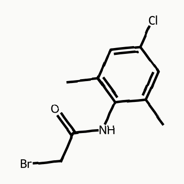 Cc1cc(Cl)cc(C)c1NC(=O)CBr